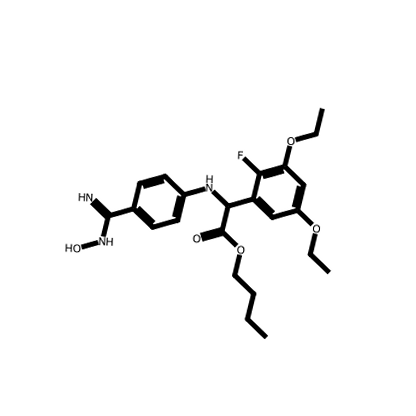 CCCCOC(=O)C(Nc1ccc(C(=N)NO)cc1)c1cc(OCC)cc(OCC)c1F